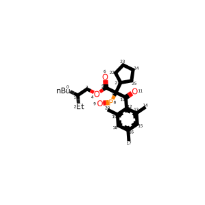 CCCCC(CC)COC(=O)C(P=O)(C(=O)c1c(C)cc(C)cc1C)C1CCCC1